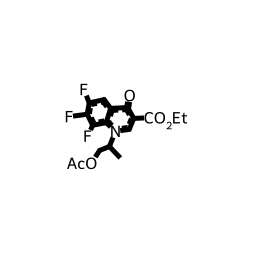 CCOC(=O)c1cn(C(C)COC(C)=O)c2c(F)c(F)c(F)cc2c1=O